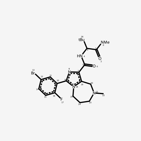 CNC(=O)C(NC(=O)c1nc(-c2cc(Br)ccc2F)n2c1CN(C)CCC2)C(C)(C)C